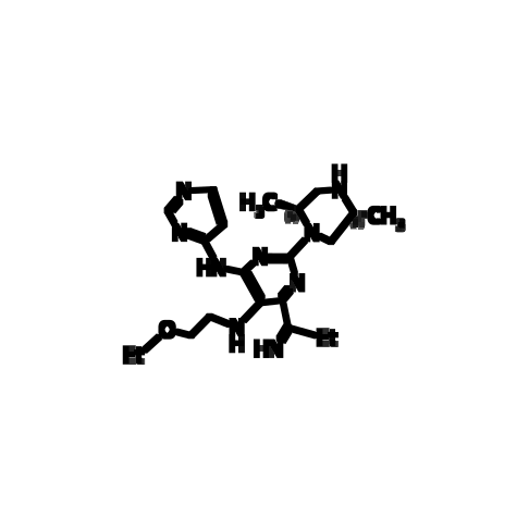 CCOCCNc1c(Nc2ccncn2)nc(N2C[C@@H](C)NC[C@@H]2C)nc1C(=N)CC